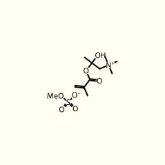 C=C(C)C(=O)OC(C)(O)C[N+](C)(C)C.COS(=O)(=O)[O-]